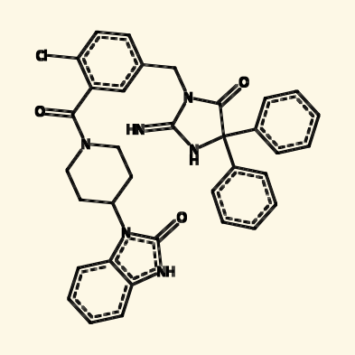 N=C1NC(c2ccccc2)(c2ccccc2)C(=O)N1Cc1ccc(Cl)c(C(=O)N2CCC(n3c(=O)[nH]c4ccccc43)CC2)c1